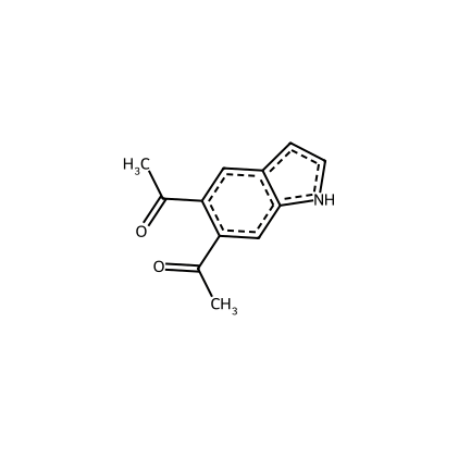 CC(=O)c1cc2cc[nH]c2cc1C(C)=O